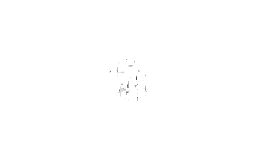 [Eu+3].[O]=[Al][O-].[O]=[Al][O-].[O]=[Al][O-]